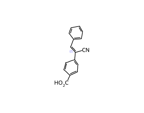 N#C/C(=C\c1ccccc1)c1ccc(C(=O)O)cc1